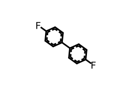 Fc1ccc(-c2ccc(F)cc2)cc1